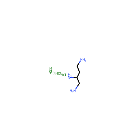 Cl.Cl.Cl.Cl.NCCC(N)CN